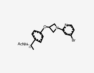 CC(=O)N[C@@H](C)c1ccc(OC2CN(c3cc(Br)ccn3)C2)cc1